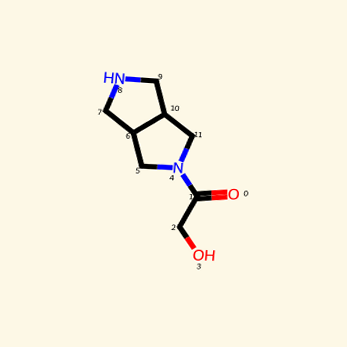 O=C(CO)N1CC2CNCC2C1